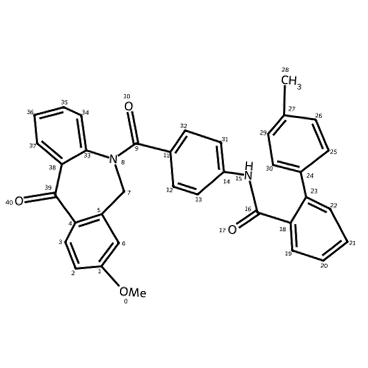 COc1ccc2c(c1)CN(C(=O)c1ccc(NC(=O)c3ccccc3-c3ccc(C)cc3)cc1)c1ccccc1C2=O